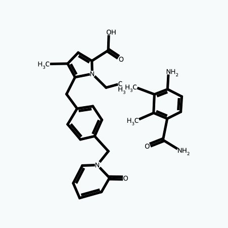 CCn1c(C(=O)O)cc(C)c1Cc1ccc(Cn2ccccc2=O)cc1.Cc1c(N)ccc(C(N)=O)c1C